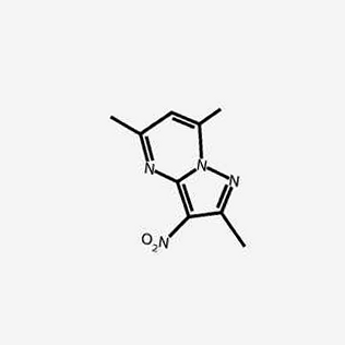 Cc1cc(C)n2nc(C)c([N+](=O)[O-])c2n1